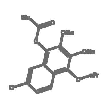 CCCOc1c(OC)c(OC)c(OC(=O)C(C)(C)C)c2cc(Cl)ccc12